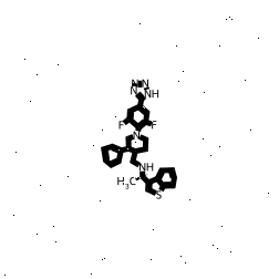 C[C@@H](NCC1CCN(c2c(F)cc(-c3nnn[nH]3)cc2F)CC1c1ccccc1)c1csc2ccccc12